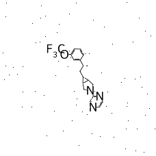 FC(F)(F)Oc1cccc([CH]CC2C3CN(c4cnccn4)CC23)c1